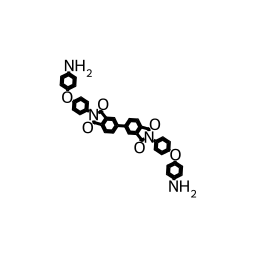 Nc1ccc(Oc2ccc(N3C(=O)c4ccc(-c5ccc6c(c5)C(=O)N(c5ccc(Oc7ccc(N)cc7)cc5)C6=O)cc4C3=O)cc2)cc1